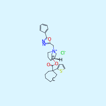 O=C(O[C@H]1C[N+]2(Cc3nnc(-c4ccccc4)o3)CCC1CC2)C1(c2cccs2)CCCCCC1.[Cl-]